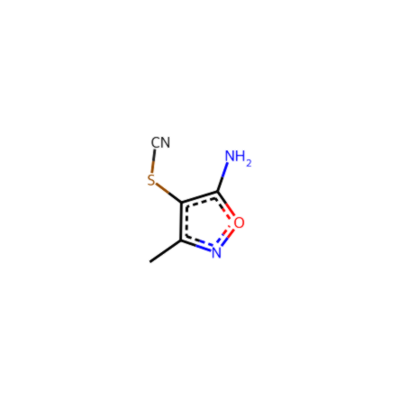 Cc1noc(N)c1SC#N